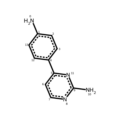 Nc1ccc(-c2ccnc(N)n2)cc1